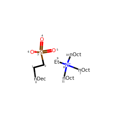 CCCCCCCCCCCCS(=O)(=O)[O-].CCCCCCCC[N+](CC)(CCCCCCCC)CCCCCCCC